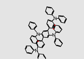 c1ccc(N(c2ccccc2)c2ccc(-c3cc(N(c4ccccc4)c4ccccc4)c(-c4ccc(N(c5ccccc5)c5ccccc5)cc4)cc3N(c3ccccc3)c3ccccc3)cc2)cc1